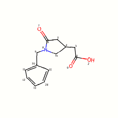 O=C(O)CC1CC(=O)N(Cc2ccccc2)C1